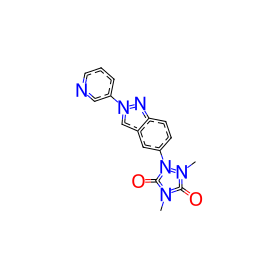 Cn1c(=O)n(C)n(-c2ccc3nn(-c4cccnc4)cc3c2)c1=O